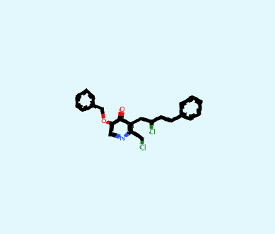 O=C1C(CC(Cl)CCc2ccccc2)=C(CCl)N=CC1OCc1ccccc1